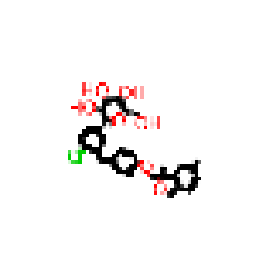 Cc1ccc2c(c1)C(C)(COc1ccc(Cc3cc([C@@H]4O[C@H](CO)[C@@H](O)[C@H](O)[C@H]4O)ccc3Cl)cc1)OC2